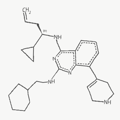 C=CC[C@@H](Nc1nc(NCC2CCCCC2)nc2c(C3=CCNCC3)cccc12)C1CC1